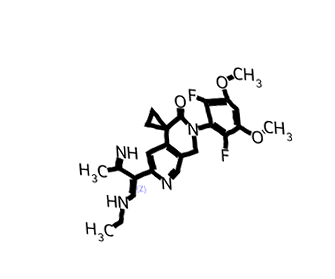 CCN/C=C(\C(C)=N)c1cc2c(cn1)CN(c1c(F)c(OC)cc(OC)c1F)C(=O)C21CC1